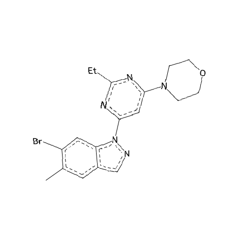 CCc1nc(N2CCOCC2)cc(-n2ncc3cc(C)c(Br)cc32)n1